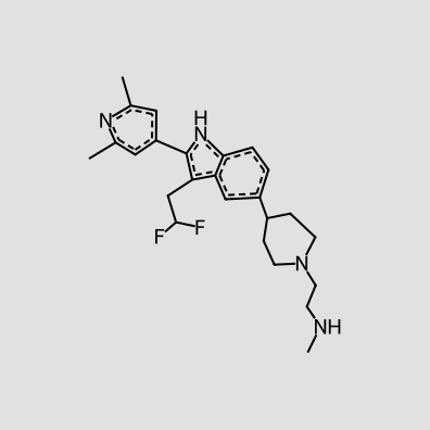 CNCCN1CCC(c2ccc3[nH]c(-c4cc(C)nc(C)c4)c(CC(F)F)c3c2)CC1